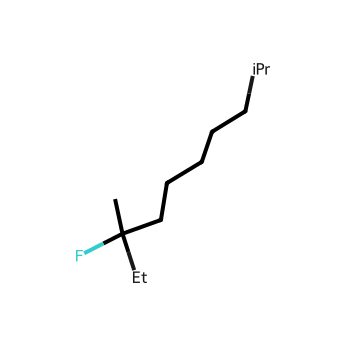 CCC(C)(F)CCCCCC(C)C